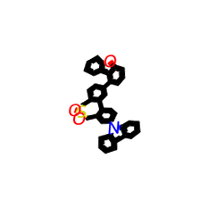 O=S1(=O)Cc2cc(-n3c4ccccc4c4ccccc43)ccc2-c2cc(-c3cccc4oc5ccccc5c34)ccc2C1